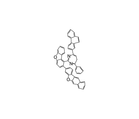 C1=C(c2ccc3c(ccc4ccccc43)c2)N=C(c2c(-c3ccc4c(c3)oc3cc5ccccc5cc34)ccc3oc4ccccc4c23)N=C(c2ccccc2)C1